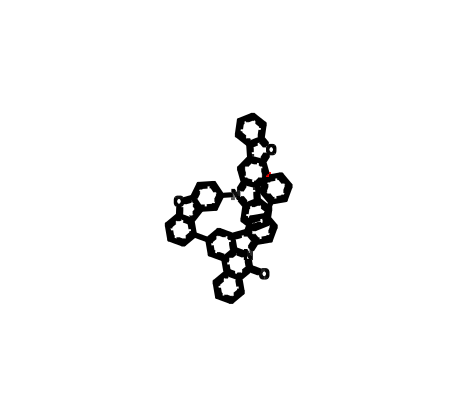 O=c1c2ccccc2c2cc(-c3cccc4oc5ccc(-n6c7ccccc7c7cc8oc9ccccc9c8cc76)cc5c34)cc3c4cc(-c5ccccc5)ccc4n1c23